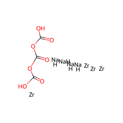 O=C(O)OC(=O)OC(=O)O.[NaH].[NaH].[NaH].[NaH].[Zr].[Zr].[Zr].[Zr]